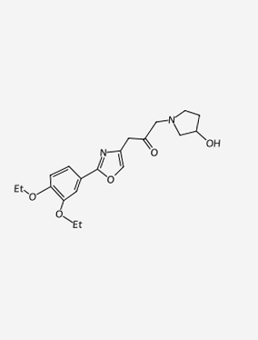 CCOc1ccc(-c2nc(CC(=O)CN3CCC(O)C3)co2)cc1OCC